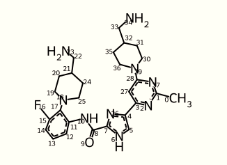 Cc1nc(-c2c[nH]c(C(=O)Nc3cccc(F)c3N3CCC(CN)CC3)n2)cc(N2CCC(CN)CC2)n1